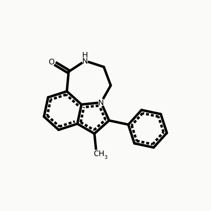 Cc1c(-c2ccccc2)n2c3c(cccc13)C(=O)NCC2